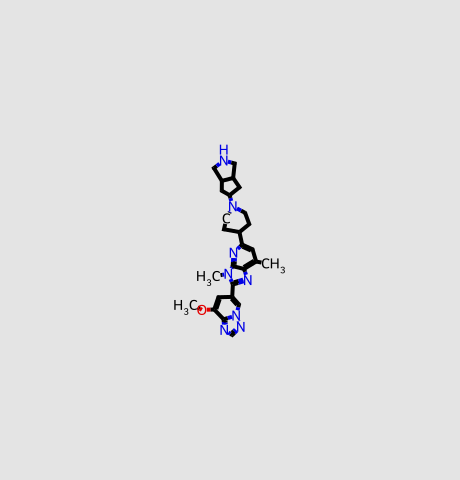 COc1cc(-c2nc3c(C)cc(C4CCN(C5CC6CNCC6C5)CC4)nc3n2C)cn2ncnc12